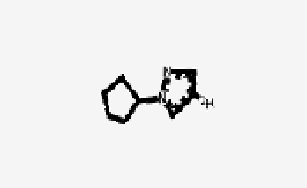 [2H]c1cnn(C2CCCC2)c1